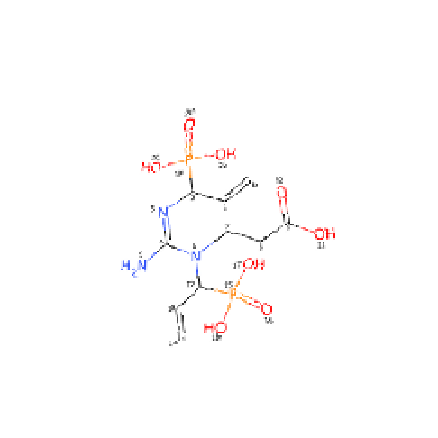 C=CC(N=C(N)N(CCC(=O)O)C(C=C)P(=O)(O)O)P(=O)(O)O